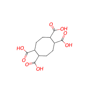 O=C(O)C1CCC(C(=O)O)C(C(=O)O)CCC1C(=O)O